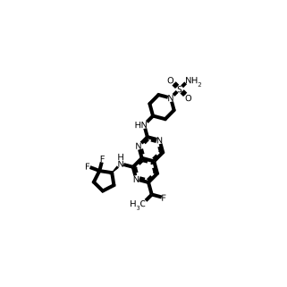 CC(F)c1cc2cnc(NC3CCN(S(N)(=O)=O)CC3)nc2c(N[C@H]2CCCC2(F)F)n1